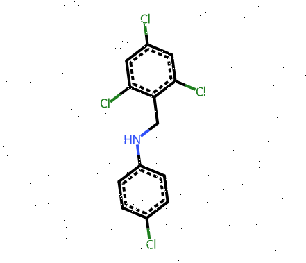 Clc1ccc(NCc2c(Cl)cc(Cl)cc2Cl)cc1